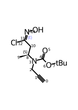 C#CCN(C(=O)OC(C)(C)C)[C@@H](C)C/C(Cl)=N\O